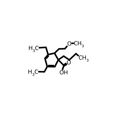 CCCCC1(C(=O)O)C=C(CC)C=C(CC)C1CCOC